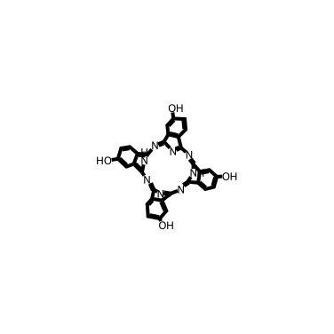 Oc1ccc2c(c1)-c1nc-2nc2[nH]c(nc3nc(nc4[nH]c(n1)c1ccc(O)cc41)-c1ccc(O)cc1-3)c1ccc(O)cc21